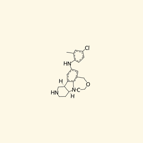 Cc1cc(Cl)ccc1Nc1cc2c3c(c1)[C@@H]1CNCC[C@@H]1N3CCOC2